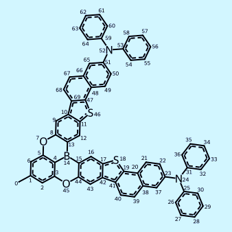 Cc1cc2c3c(c1)Oc1cc4c(cc1B3c1cc3sc5c6ccc(N(c7ccccc7)c7ccccc7)cc6ccc5c3cc1O2)sc1c2ccc(N(c3ccccc3)c3ccccc3)cc2ccc41